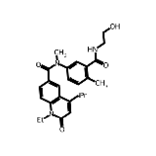 CCn1c(=O)cc(C(C)C)c2cc(C(=O)N(C)c3ccc(C)c(C(=O)NCCO)c3)ccc21